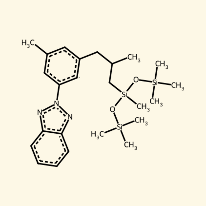 Cc1cc(CC(C)C[Si](C)(O[Si](C)(C)C)O[Si](C)(C)C)[c]c(-n2nc3ccccc3n2)c1